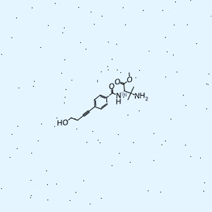 COC(=O)[C@@H](NC(=O)c1ccc(C#CCCO)cc1)C(C)(C)N